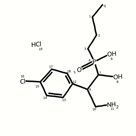 CCCCP(=O)(O)C(O)C(CN)c1ccc(Cl)cc1.Cl